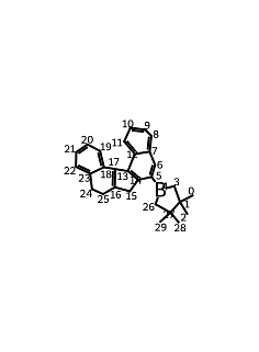 CC1(C)CB(c2cc3ccccc3c3c2CC2=C3c3ccccc3CC2)CC1(C)C